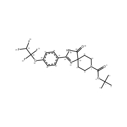 CC(C)(C)OC(=O)N1CCC2(CC1)N=C(c1ccc(OC(F)(F)C(F)F)cc1)NC2=O